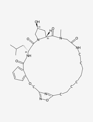 CC(C)C[C@H]1NC(=O)c2ccccc2OCc2noc(n2)CCCCCCCCNC(=O)CN(C)C(=O)[C@H]2C[C@H](O)CN2C1=O